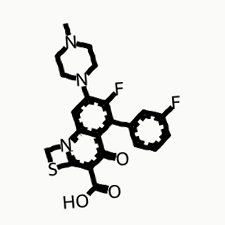 CN1CCN(c2cc3c(c(-c4cccc(F)c4)c2F)c(=O)c(C(=O)O)c2n3CS2)CC1